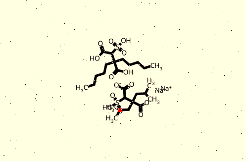 CC(C)CC(CC(C)C)(C(=O)[O-])C(C(=O)[O-])S(=O)(=O)O.CCCCCC(CCCCC)(C(=O)O)C(C(=O)O)S(=O)(=O)O.[Na+].[Na+]